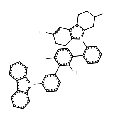 CC1CCc2c3c(n(-c4ccccc4-c4ccc(C#N)c(-c5cccc(-n6c7ccccc7c7ccccc76)c5)c4C#N)c2C1)CCC(C#N)=C3